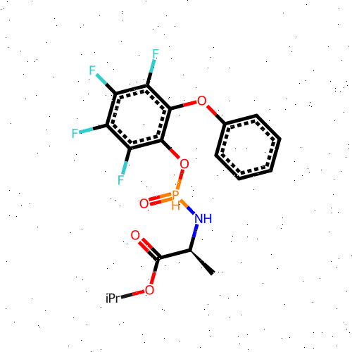 CC(C)OC(=O)[C@H](C)N[PH](=O)Oc1c(F)c(F)c(F)c(F)c1Oc1ccccc1